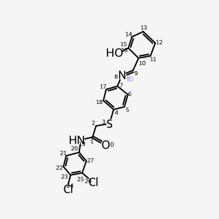 O=C(CSc1ccc(/N=C/c2ccccc2O)cc1)Nc1ccc(Cl)c(Cl)c1